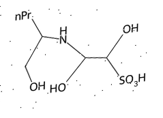 CCCC(CO)NC(O)C(O)S(=O)(=O)O